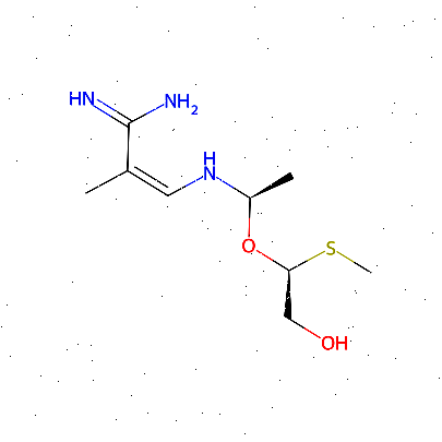 CS[C@@H](CO)O[C@H](C)N/C=C(/C)C(=N)N